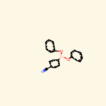 N#Cc1ccc(B(Oc2ccccc2)Oc2ccccc2)cc1